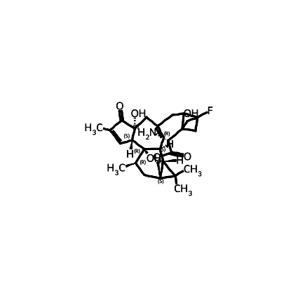 CC1=C[C@H]2[C@@]3(O)[C@H](C)C[C@]4(OC(=O)[C@H](N)C56CC(F)(C5)C6)[C@H]([C@@H]3C=C(CO)C[C@]2(O)C1=O)C4(C)C